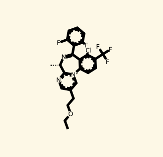 CCOCCc1cnc2[n+](c1)-c1ccc(C(F)(F)F)c(Cl)c1C(c1c(F)cccc1F)=N[C@H]2C